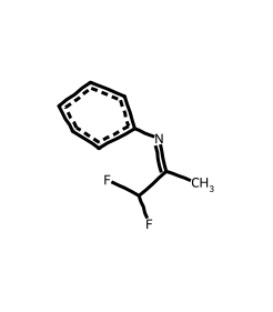 CC(=Nc1ccccc1)C(F)F